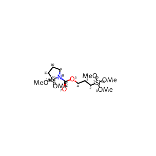 CO[Si](CCCOC(=O)N1CCC[Si]1(OC)OC)(OC)OC